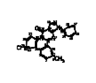 Cc1cccc(-c2nc3c(cnn3-c3ccccc3)c(=O)n2-c2ccc(Cl)cc2)c1